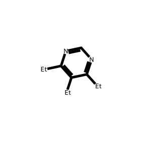 CCc1ncnc(CC)c1CC